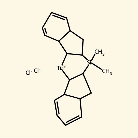 C[Si]1(C)C2CC3C=CC=CC3[CH]2[Ti+2][CH]2C3C=CC=CC3CC21.[Cl-].[Cl-]